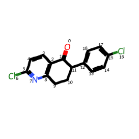 O=C1c2ccc(Cl)nc2CCC1c1ccc(Cl)cc1